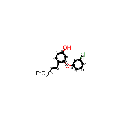 CCOC(=O)C=Cc1ccc(O)cc1Oc1cccc(Cl)c1